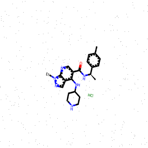 CCn1ncc2c(NC3CCNCC3)c(C(=O)N[C@H](C)c3ccc(C)cc3)cnc21.Cl